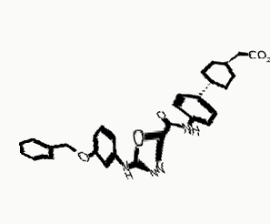 O=C(O)C[C@H]1CC[C@H](c2ccc(NC(=O)c3nnc(Nc4cccc(OCc5ccccc5)c4)o3)cc2)CC1